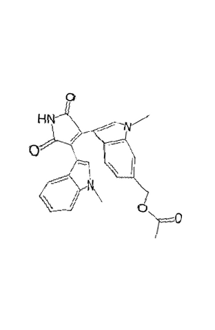 CC(=O)OCc1ccc2c(C3=C(c4cn(C)c5ccccc45)C(=O)NC3=O)cn(C)c2c1